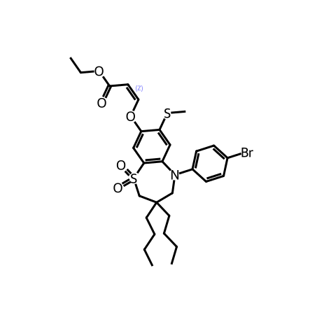 CCCCC1(CCCC)CN(c2ccc(Br)cc2)c2cc(SC)c(O/C=C\C(=O)OCC)cc2S(=O)(=O)C1